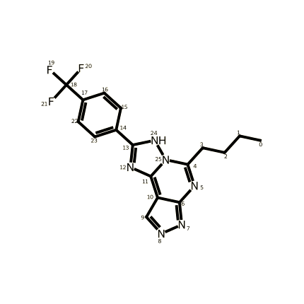 CCCCc1nc2nncc-2c2nc(-c3ccc(C(F)(F)F)cc3)[nH]n12